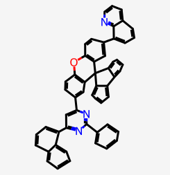 c1ccc(-c2nc(-c3ccc4c(c3)C3(c5cc(-c6cccc7cccnc67)ccc5O4)c4ccccc4-c4ccccc43)cc(-c3cccc4ccccc34)n2)cc1